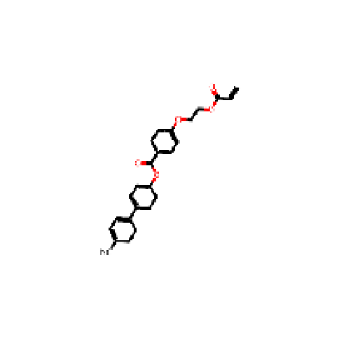 C=CC(=O)OCCOC1=CC=C(C(=O)OC2=CC=C(C3=CC=C(C#N)CC3)CC2)CC1